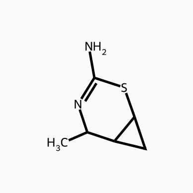 CC1N=C(N)SC2CC12